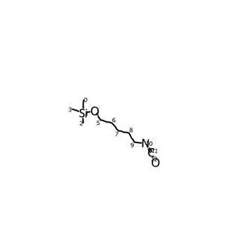 C[Si](C)(C)OCCCCCN=C=O